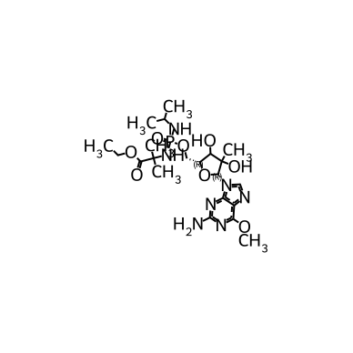 CCOC(=O)C(C)(C)NP(=O)(NC(C)C)OC[C@H]1O[C@@H](n2cnc3c(OC)nc(N)nc32)C(C)(O)C1O